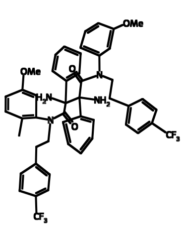 COc1cccc(N(CCc2ccc(C(F)(F)F)cc2)C(=O)C(N)(c2ccccc2)C(N)(C(=O)N(CCc2ccc(C(F)(F)F)cc2)c2cc(OC)ccc2C)c2ccccc2)c1